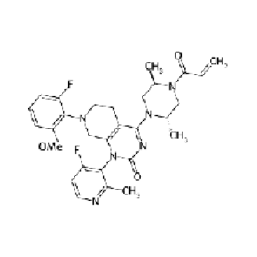 C=CC(=O)N1C[C@H](C)N(c2nc(=O)n(-c3c(F)ccnc3C)c3c2CCN(c2c(F)cccc2OC)C3)C[C@H]1C